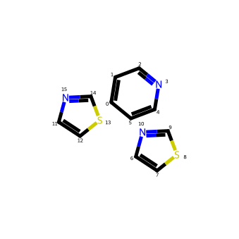 c1ccncc1.c1cscn1.c1cscn1